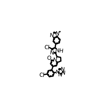 Cn1cnc2cc(-c3[nH]c(C4CCc5cc(-c6cc(Cl)ccc6-n6cnnn6)cc(=O)n54)nc3Cl)ccc21